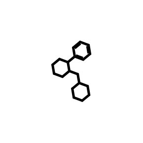 c1ccc(C2CCCCC2CC2CCCCC2)cc1